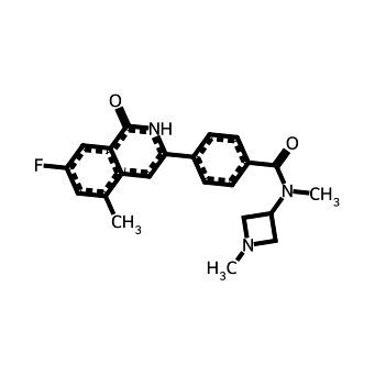 Cc1cc(F)cc2c(=O)[nH]c(-c3ccc(C(=O)N(C)C4CN(C)C4)cc3)cc12